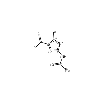 CC(=O)c1sc(NC(N)=O)nc1C